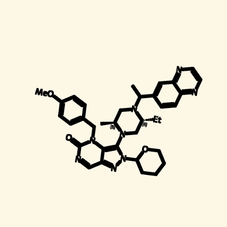 CC[C@@H]1CN(c2c3c(cnc(=O)n3Cc3ccc(OC)cc3)nn2C2CCCCO2)[C@@H](C)CN1C(C)c1ccc2nccnc2c1